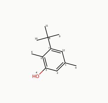 Cc1cc(O)c(C)c(C(C)(C)C)c1